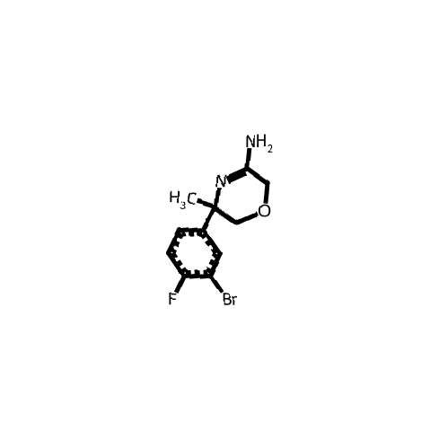 CC1(c2ccc(F)c(Br)c2)COCC(N)=N1